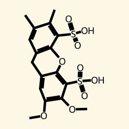 COc1cc2c(c(S(=O)(=O)O)c1OC)Oc1c(cc(C)c(C)c1S(=O)(=O)O)C2